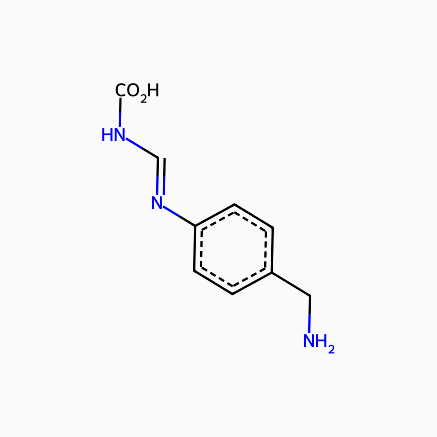 NCc1ccc(N=CNC(=O)O)cc1